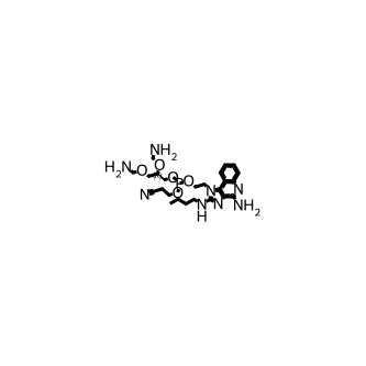 CCCCNc1nc2c(N)nc3ccccc3c2n1CCOP(OCCC#N)OC[C@@H](COCN)OCN